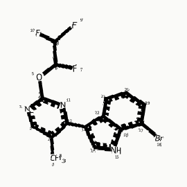 Cc1cnc(OC(F)C(F)F)nc1-c1c[nH]c2c(Br)cccc12